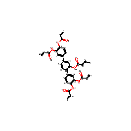 C=CC(=O)Oc1ccc(-c2ccc(-c3ccc(OC(=O)C=C)c(OC(=O)C=C)c3)c(OC(=O)/C=C/C)c2)cc1OC(=O)C=C